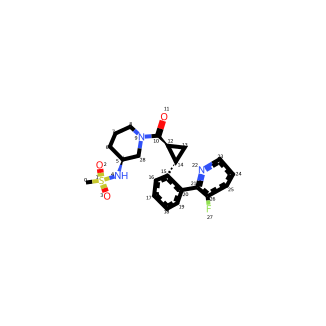 CS(=O)(=O)N[C@H]1CCCN(C(=O)[C@H]2C[C@@H]2c2ccccc2-c2ncccc2F)C1